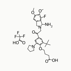 COc1cc2c(c(F)c1OC)C(N)N(CC(=O)c1cc(N3CCCC3)c(OCCCC(=O)O)c(C(C)(C)C)c1)C2.O=C(O)C(F)(F)F